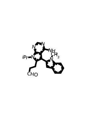 CC(C)n1c(CCC=O)c(-c2cc3ccccc3n2C)c2c(N)ncnc21